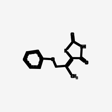 CC(COc1ccccc1)=C1SC(=O)NC1=O